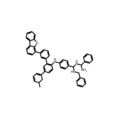 CC1C=CC=C(c2ccc(Nc3ccc(C(NCc4ccccc4)NC(N)c4ccccc4)cc3)c(-c3cccc(-c4cccc5c4oc4ccccc45)c3)c2)C1